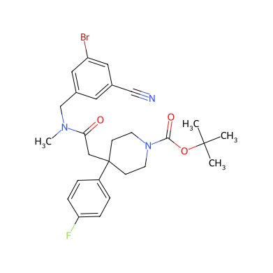 CN(Cc1cc(Br)cc(C#N)c1)C(=O)CC1(c2ccc(F)cc2)CCN(C(=O)OC(C)(C)C)CC1